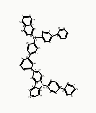 c1ccc(-c2ccc(N(c3ccc(-c4cccc(-c5ccc6c(c5)c5ccccc5n6-c5ccc(-c6ccccc6)cc5)c4)cc3)c3ccc4ccccc4c3)cc2)cc1